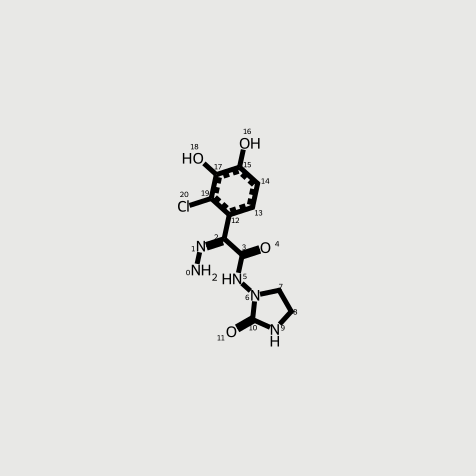 N/N=C(\C(=O)NN1CCNC1=O)c1ccc(O)c(O)c1Cl